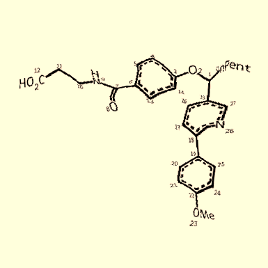 CCCCCC(Oc1ccc(C(=O)NCCC(=O)O)cc1)c1ccc(-c2ccc(OC)cc2)nc1